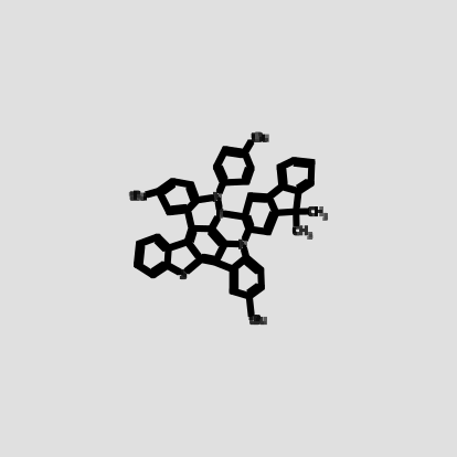 CC(C)(C)c1ccc(N2B3c4cc5c(cc4-n4c6ccc(C(C)(C)C)cc6c6c7sc8ccccc8c7c(c3c64)-c3cc(C(C)(C)C)ccc32)C(C)(C)c2ccccc2-5)cc1